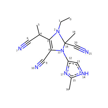 CCN1C(C(C)C#N)=C(C#N)N(c2c[nH]c(C)n2)C1(C)C#N